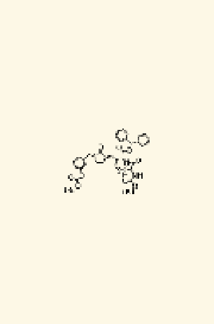 CC(C)(C)OC(=O)N[C@@H]1C(=O)N2[C@@H](C(=O)OC(c3ccccc3)c3ccccc3)C(C=C3CCN(Cc4cccc(OC(=O)OC(C)(C)C)c4)C3=O)=CS[C@H]12